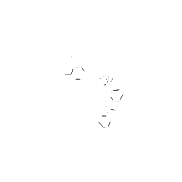 COc1cc(CCNS(=O)(=O)c2cc(S(=O)(=O)c3ccccc3)ccc2C)ccc1Br